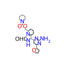 Nc1nc(-c2ccco2)cc(C(NC=O)c2cccc(COC(=O)N3CCCCC3)n2)n1